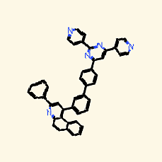 c1ccc(-c2cc(-c3cccc(-c4ccc(-c5cc(-c6ccncc6)nc(-c6ccncc6)n5)cc4)c3)c3c(ccc4ccccc43)n2)cc1